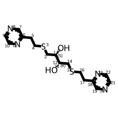 O[C@H](CSCCc1cnccn1)[C@@H](O)CSCCc1cnccn1